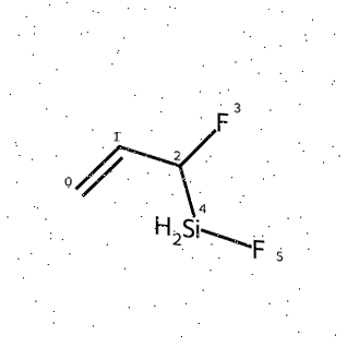 C=CC(F)[SiH2]F